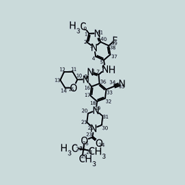 Cc1cn2cc(Nc3nn(C4CCCCO4)c4cc(N5CCN(C(=O)OC(C)(C)C)CC5)cc(C#N)c34)cc(F)c2n1